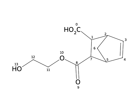 O=C(O)C1C2C=CC(C2)C1C(=O)OCCO